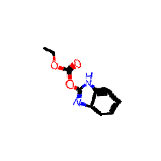 CCOC(=O)Oc1nc2ccccc2[nH]1